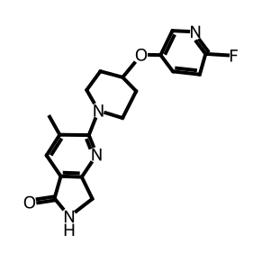 Cc1cc2c(nc1N1CCC(Oc3ccc(F)nc3)CC1)CNC2=O